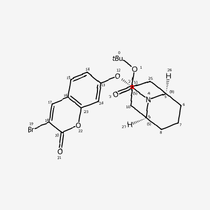 CC(C)(C)OC(=O)N1[C@@H]2CCC[C@H]1C[C@H](Oc1ccc3cc(Br)c(=O)oc3c1)C2